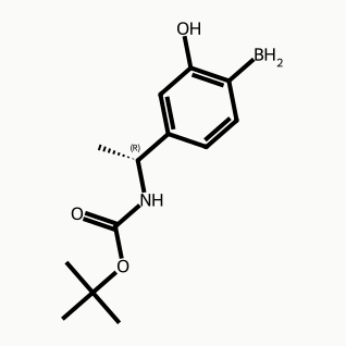 Bc1ccc([C@@H](C)NC(=O)OC(C)(C)C)cc1O